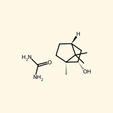 CC1(C)[C@@H]2CC[C@]1(C)[C@@H](O)C2.NC(N)=O